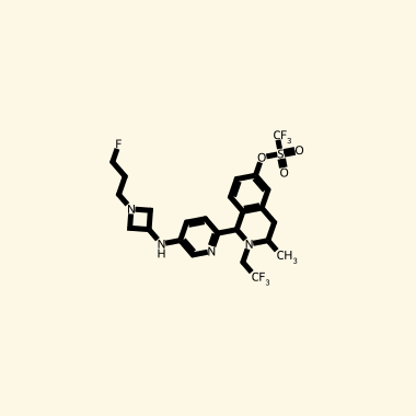 CC1Cc2cc(OS(=O)(=O)C(F)(F)F)ccc2C(c2ccc(NC3CN(CCCF)C3)cn2)N1CC(F)(F)F